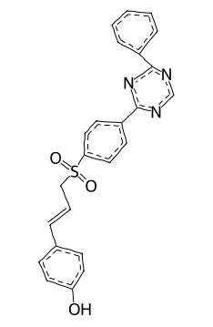 O=S(=O)(CC=Cc1ccc(O)cc1)c1ccc(-c2ncnc(-c3ccccc3)n2)cc1